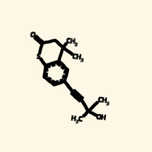 CC(C)(O)C#Cc1ccc2c(c1)C(C)(C)CC(=O)S2